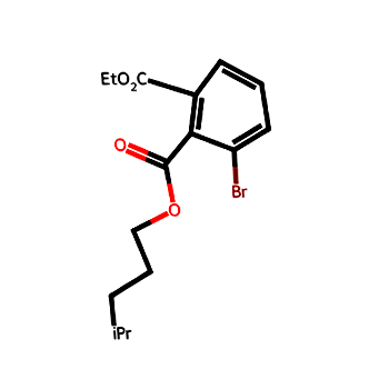 CCOC(=O)c1cccc(Br)c1C(=O)OCCCC(C)C